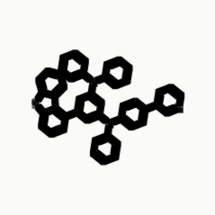 c1ccc(N(c2ccccc2)c2cc(-c3cccc4sc5ccccc5c34)cc(N(c3ccccc3)c3ccc(-c4cccnc4)cc3)c2)cc1